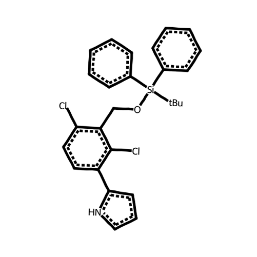 CC(C)(C)[Si](OCc1c(Cl)ccc(-c2ccc[nH]2)c1Cl)(c1ccccc1)c1ccccc1